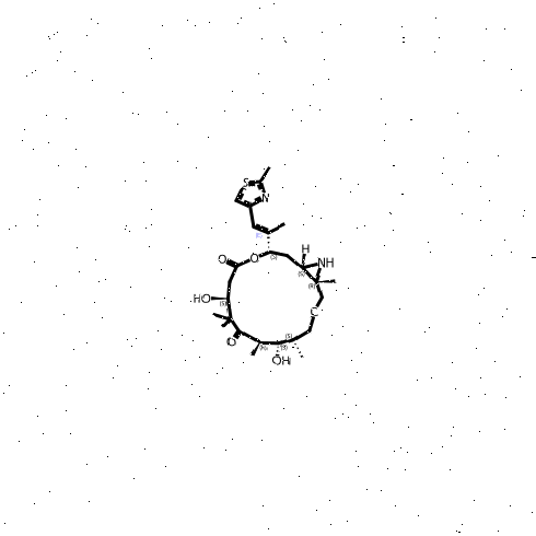 C/C(=C\c1csc(C)n1)[C@@H]1C[C@@H]2N[C@]2(C)CCC[C@H](C)[C@H](O)[C@@H](C)C(=O)C(C)(C)[C@@H](O)CC(=O)O1